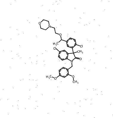 COc1ccc(CN2C(=O)C(C)(c3cc(C(C)OCCN4CCOCC4)ccc3Cl)c3cc(Cl)ccc32)c(OC)c1